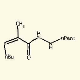 CCCCC=C(C)C(=O)NNCCCCC